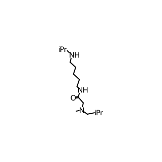 CC(C)CN(C)CC(=O)NCCCCCNC(C)C